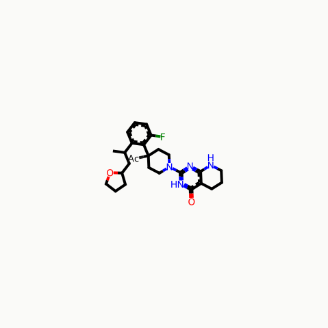 CC(=O)C1(c2c(F)cccc2C(C)CC2CCCO2)CCN(c2nc3c(c(=O)[nH]2)CCCN3)CC1